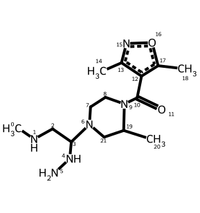 CNCC(NN)N1CCN(C(=O)c2c(C)noc2C)C(C)C1